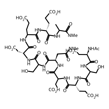 CNC(=O)C[C@@H](NC(=O)C(CC(=O)O)NC(=O)[C@@H](CCC(=O)O)NC(=O)C(CO)NC(=O)[C@@H](CC(=O)O)NC(C)=O)C(=O)NC(CO)C(=O)N[C@H](CC(=O)O)C(=O)NC(CCC(=O)O)C(=O)N[C@H](CCC(=O)O)C(=O)NC(C)C(=O)NC